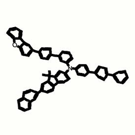 CC1(C)c2cc(-c3ccc4ccccc4c3)ccc2-c2ccc(N(c3ccc(-c4ccc(-c5ccccc5)cc4)cc3)c3cccc(-c4ccc(-c5ccc6oc7ccccc7c6c5)cc4)c3)cc21